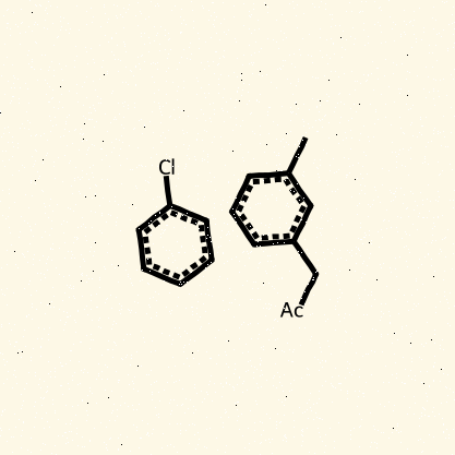 CC(=O)Cc1cccc(C)c1.Clc1ccccc1